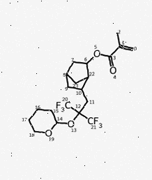 C=C(C)C(=O)OC1CC2CC(CC(OC3CCCCO3)(C(F)(F)F)C(F)(F)F)C1C2